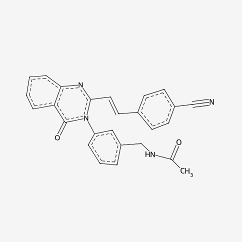 CC(=O)NCc1cccc(-n2c(/C=C/c3ccc(C#N)cc3)nc3ccccc3c2=O)c1